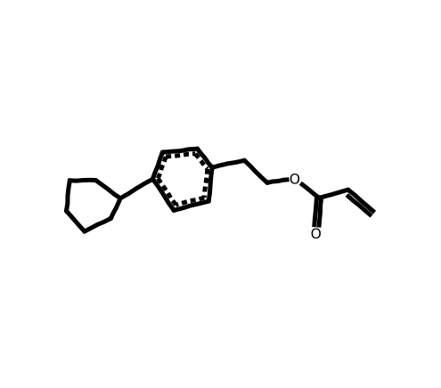 C=CC(=O)OCCc1ccc(C2CCCCC2)cc1